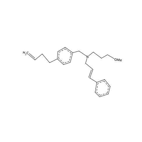 C=CCCc1ccc(CN(C/C=C/c2ccccc2)CCCOC)cc1